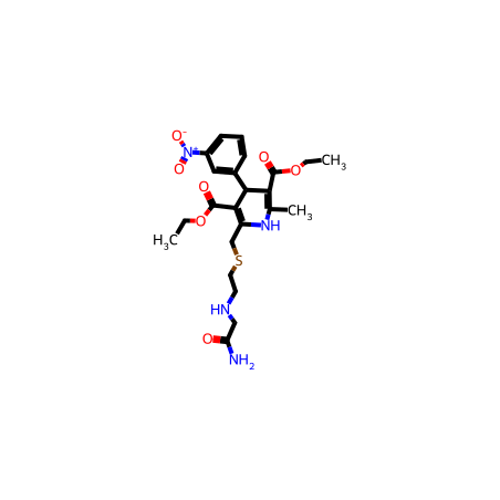 CCOC(=O)C1=C(C)NC(CSCCNCC(N)=O)=C(C(=O)OCC)C1c1cccc([N+](=O)[O-])c1